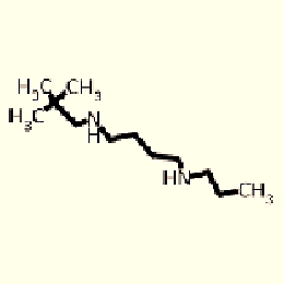 CCCNCCCCNCC(C)(C)C